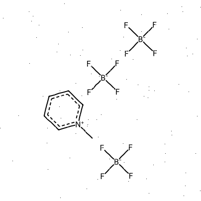 C[n+]1ccccc1.F[B-](F)(F)F.F[B-](F)(F)F.F[B-](F)(F)F